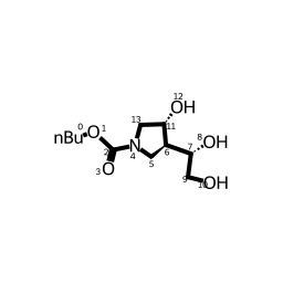 CCCCOC(=O)N1C[C@H]([C@H](O)CO)[C@@H](O)C1